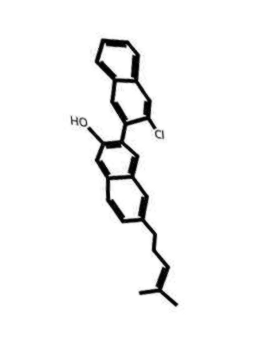 CC(C)=CCCc1ccc2cc(O)c(-c3cc4ccccc4cc3Cl)cc2c1